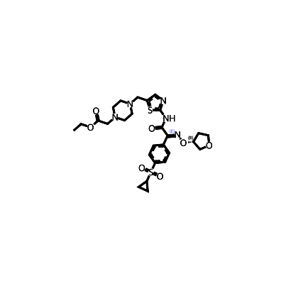 CCOC(=O)CN1CCN(Cc2cnc(NC(=O)/C(=N/O[C@@H]3CCOC3)c3ccc(S(=O)(=O)C4CC4)cc3)s2)CC1